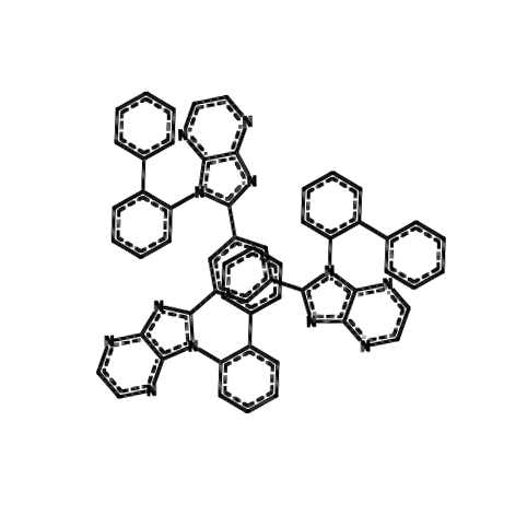 c1ccc(-c2ccccc2-n2c(-c3cc(-c4nc5nccnc5n4-c4ccccc4-c4ccccc4)cc(-c4nc5nccnc5n4-c4ccccc4-c4ccccc4)c3)nc3nccnc32)cc1